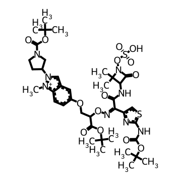 C[n+]1c2ccc(OCC(ON=C(C(=O)NC3C(=O)N(OS(=O)(=O)O)C3(C)C)c3csc(NC(=O)OC(C)(C)C)n3)C(=O)OC(C)(C)C)cc2cn1C1CCN(C(=O)OC(C)(C)C)C1